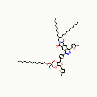 CCCCCCCCCCCCOCC1(CC)COc2c(-c3ccc(C)s3)sc(-c3ccc(-c4nnc(-c5ccc(C)s5)c5cc6c(cc45)C(=O)N(CC(CCCCCCCC)CCCCCCCCCC)C6=O)s3)c2OC1